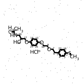 CSc1ccc(CCOCCOc2ccc(OCC(O)CNC(C)C)cc2)cc1.Cl